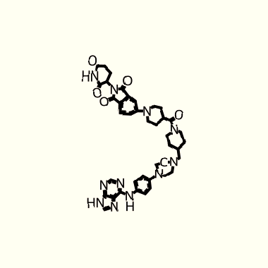 O=C1CCC(N2C(=O)c3ccc(N4CCC(C(=O)N5CCC(CN6CCN(c7ccc(Nc8ncnc9[nH]cnc89)cc7)CC6)CC5)CC4)cc3C2=O)C(=O)N1